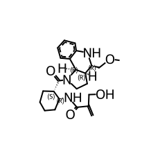 C=C(CO)C(=O)N[C@@H]1CCCC[C@@H]1C(=O)N1CC[C@@H]2[C@H](COC)Nc3ccccc3[C@@H]21